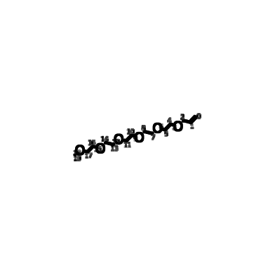 C=CCOCCOCCOCCOCCOCCOC